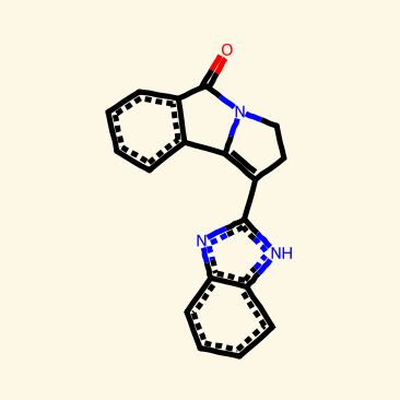 O=C1c2ccccc2C2=C(c3nc4ccccc4[nH]3)CCN12